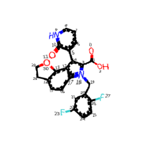 O=C(O)c1c(-c2ccc[nH]c2=O)c2c3c(ccc2n1Cc1cc(F)ccc1F)CCO3